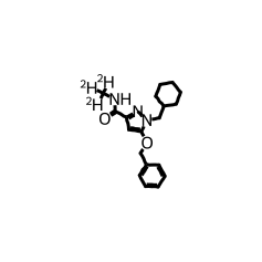 [2H]C([2H])([2H])NC(=O)c1cc(OCc2ccccc2)n(CC2CCCCC2)n1